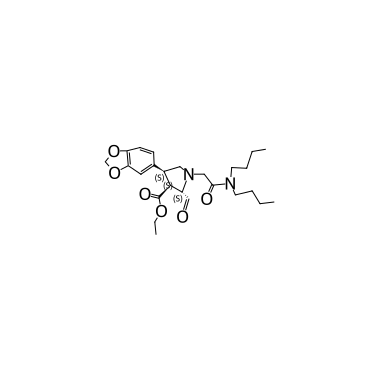 CCCCN(CCCC)C(=O)CN1C[C@H](c2ccc3c(c2)OCO3)[C@H](C(=O)OCC)[C@H]1C=O